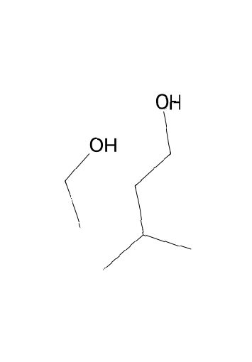 CC(C)CCO.CCO